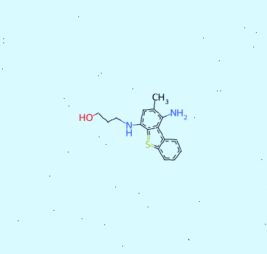 Cc1cc(NCCCO)c2sc3ccccc3c2c1N